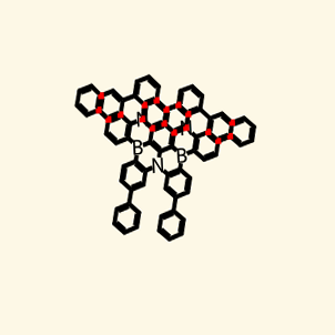 c1ccc(-c2ccc3c(c2)N(c2c(-c4ccccc4)cccc2-c2ccccc2)c2cc4c5c6c2B3c2ccc(-c3ccccc3)cc2N6c2cc(-c3ccccc3)ccc2B5c2ccc(-c3ccccc3)cc2N4c2c(-c3ccccc3)cccc2-c2ccccc2)cc1